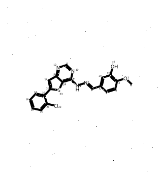 COc1ccc(C=NNc2ncnc3cc(-c4ccccc4Cl)sc23)cc1O